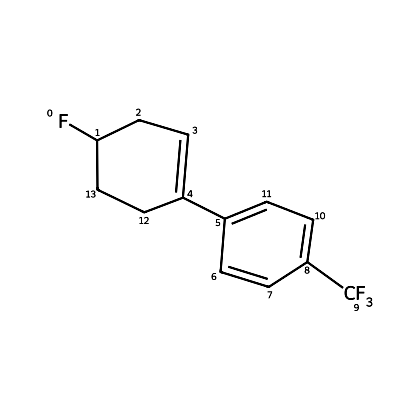 FC1CC=C(c2ccc(C(F)(F)F)cc2)CC1